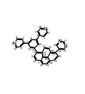 c1cc(-c2cc(-c3ccncc3)cc(-c3ccc4ccc5ccc(-c6cncnc6)c6ccc3c4c56)c2)ccn1